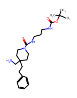 CC(C)(C)OC(=O)NCCCNC(=O)N1CCC(CN)(CCc2ccccc2)CC1